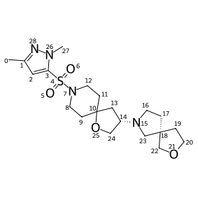 Cc1cc(S(=O)(=O)N2CCC3(CC2)C[C@H](N2CC[C@@]4(CCOC4)C2)CO3)n(C)n1